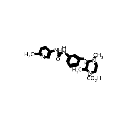 Cc1ccc(NC(=O)Nc2cccc(C[C@H]3C(C)N(C(=O)O)CCN3C)c2)cn1